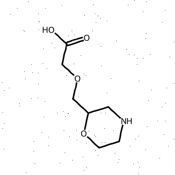 O=C(O)COCC1CNCCO1